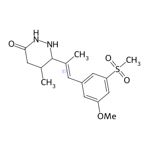 COc1cc(/C=C(\C)C2NNC(=O)CC2C)cc(S(C)(=O)=O)c1